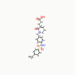 Cc1ccc(S(=O)(=O)Nc2ccc(CN3CCC=C(CCC(=O)O)C3=O)cc2)cc1